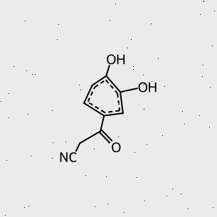 N#CCC(=O)c1ccc(O)c(O)c1